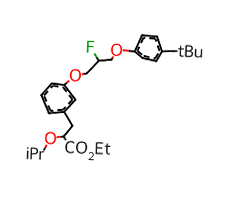 CCOC(=O)C(Cc1cccc(OCC(F)COc2ccc(C(C)(C)C)cc2)c1)OC(C)C